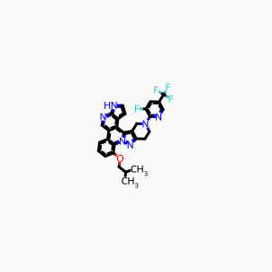 CC(C)COc1cccc2c3cnc4[nH]ccc4c3c3c4c(nn3c12)CCN(c1ncc(C(F)(F)F)cc1F)C4